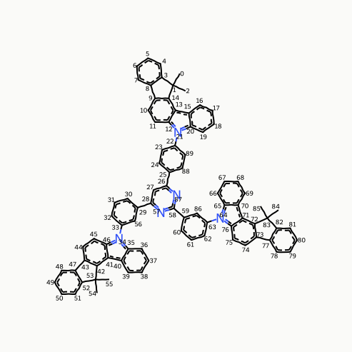 CC1(C)c2ccccc2-c2ccc3c(c21)c1ccccc1n3-c1ccc(-c2cc(-c3cccc(-n4c5ccccc5c5c6c(ccc54)-c4ccccc4C6(C)C)c3)nc(-c3cccc(-n4c5ccccc5c5c6c(ccc54)-c4ccccc4C6(C)C)c3)n2)cc1